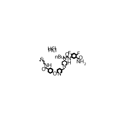 CCCCN(C(=O)Nc1cc(C(N)=O)c(F)cc1F)C1CCN(Cc2ccc(Oc3ccc(C(=O)NCCN(C)C)cc3)nc2)CC1.Cl.Cl